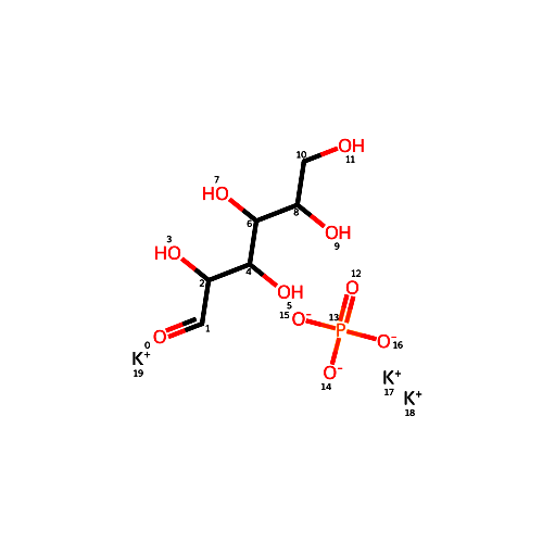 O=CC(O)C(O)C(O)C(O)CO.O=P([O-])([O-])[O-].[K+].[K+].[K+]